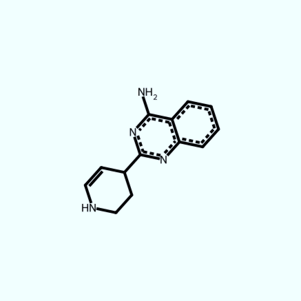 Nc1nc(C2C=CNCC2)nc2ccccc12